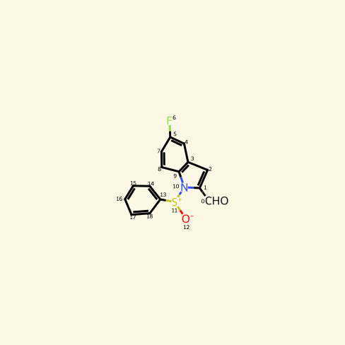 O=Cc1cc2cc(F)ccc2n1[S+]([O-])c1ccccc1